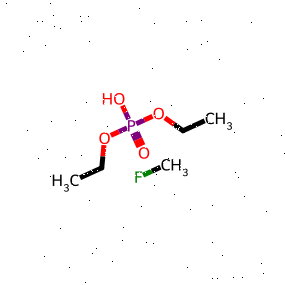 CCOP(=O)(O)OCC.CF